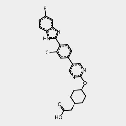 O=C(O)C[C@H]1CC[C@@H](Oc2ncc(-c3ccc(-c4nc5cc(F)ccc5[nH]4)c(Cl)c3)cn2)CC1